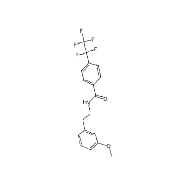 COc1cccc(CCNC(=O)c2ccc(C(F)(F)C(F)(F)F)cc2)c1